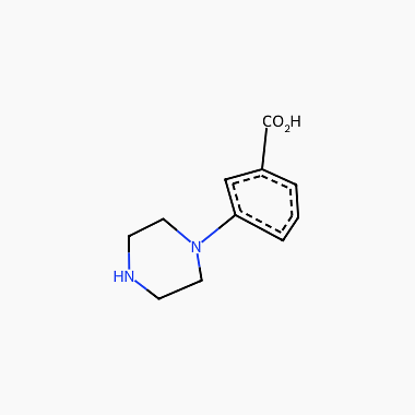 O=C(O)c1cccc(N2CCNCC2)c1